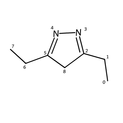 CCC1=NN=C(CC)C1